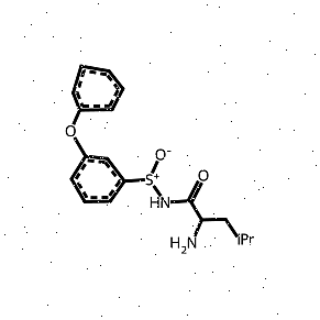 CC(C)CC(N)C(=O)N[S+]([O-])c1cccc(Oc2ccccc2)c1